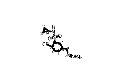 [N-]=[N+]=NCc1ccc(Cl)c(S(=O)(=O)NC2CC2)c1